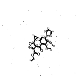 CCOC(=O)c1noc(C2CC2)c1C(=O)c1ccc(-n2nccn2)c(SC)c1CC